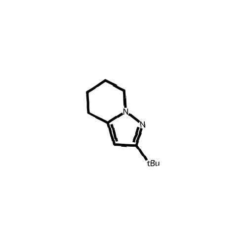 CC(C)(C)c1cc2n(n1)CCCC2